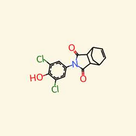 O=C1C2C3C=CC(CC3)C2C(=O)N1c1cc(Cl)c(O)c(Cl)c1